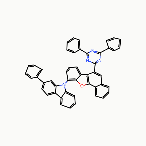 c1ccc(-c2ccc3c4ccccc4n(-c4cccc5c4oc4c6ccccc6cc(-c6nc(-c7ccccc7)nc(-c7ccccc7)n6)c54)c3c2)cc1